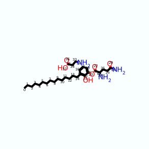 CCCCCCCCCCCCCCCc1cccc(OC(=O)[C@@H](N)CCC(N)=O)c1O.NCCC(=O)O